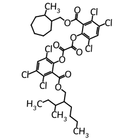 CCCCC(COC(=O)c1c(Cl)c(Cl)cc(Cl)c1OC(=O)C(=O)Oc1c(Cl)cc(Cl)c(Cl)c1C(=O)OCC1CCCCCC1C)C(C)CC